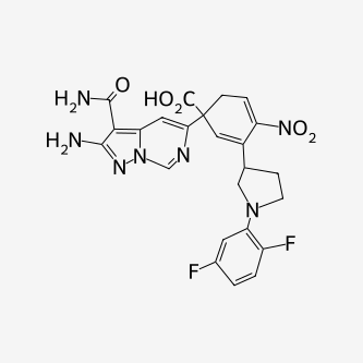 NC(=O)c1c(N)nn2cnc(C3(C(=O)O)C=C(C4CCN(c5cc(F)ccc5F)C4)C([N+](=O)[O-])=CC3)cc12